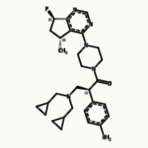 Bc1ccc([C@@H](CN(CC2CC2)CC2CC2)C(=O)N2CCN(c3ncnc4c3[C@H](C)C[C@H]4F)CC2)cc1